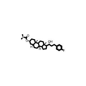 CN(C)C(=O)O[C@H]1CC[C@]2(C)C3CC[C@@]4(C)C(CCC4[C@H](O)CCc4ccc(F)cc4)[C@@H]3CC[C@H]2C1